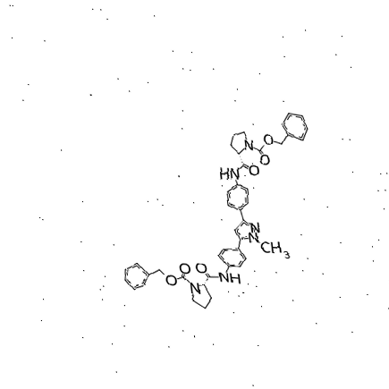 Cn1nc(-c2ccc(NC(=O)[C@@H]3CCCN3C(=O)OCc3ccccc3)cc2)cc1-c1ccc(NC(=O)[C@@H]2CCCN2C(=O)OCc2ccccc2)cc1